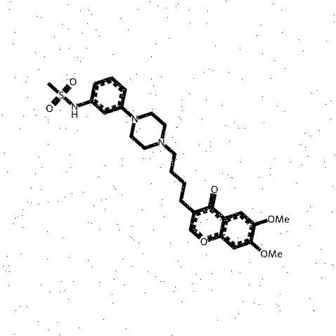 COc1cc2occ(CCCCN3CCN(c4cccc(NS(C)(=O)=O)c4)CC3)c(=O)c2cc1OC